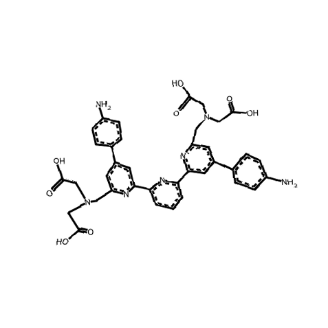 Nc1ccc(-c2cc(CN(CC(=O)O)CC(=O)O)nc(-c3cccc(-c4cc(-c5ccc(N)cc5)cc(CN(CC(=O)O)CC(=O)O)n4)n3)c2)cc1